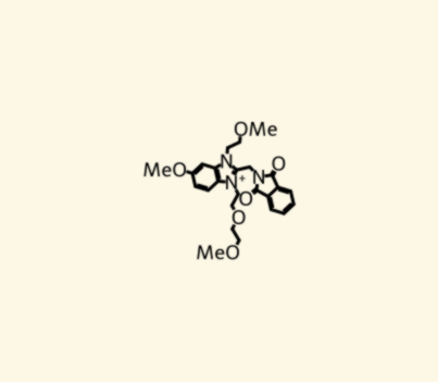 COCCOCC[n+]1c(CN2C(=O)c3ccccc3C2=O)n(CCOC)c2cc(OC)ccc21